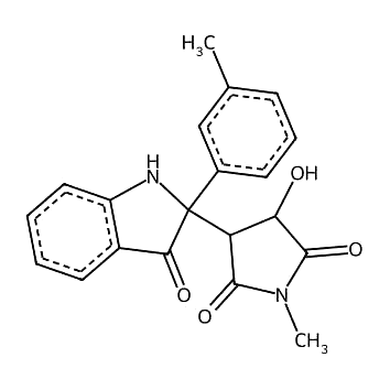 Cc1cccc(C2(C3C(=O)N(C)C(=O)C3O)Nc3ccccc3C2=O)c1